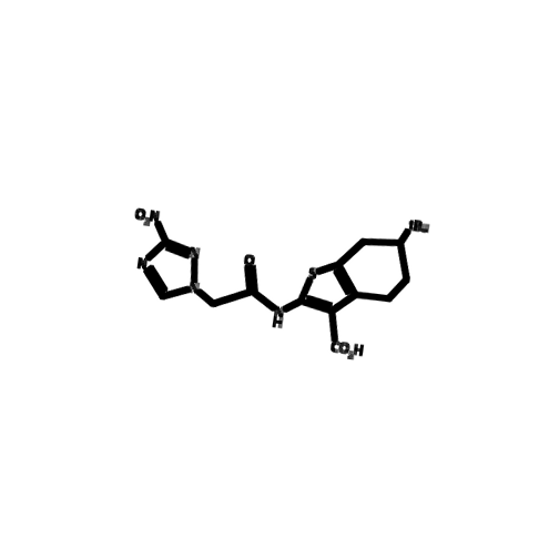 CC(C)(C)C1CCc2c(sc(NC(=O)Cn3cnc([N+](=O)[O-])n3)c2C(=O)O)C1